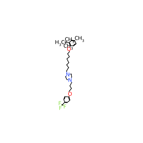 Cc1ccc(OCCCCCCCCN2CCN(CCCCOc3ccc(C(F)(F)F)cc3)CC2)c(C(C)(C)C)c1